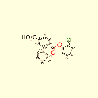 O=C(O)c1ccc(C(=O)Oc2ccccc2Cl)c(-c2ccccc2)c1